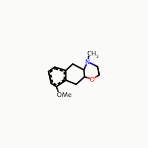 COc1cccc2c1CC1OCCN(C)C1C2